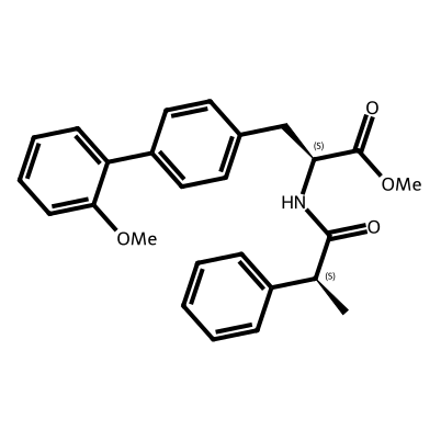 COC(=O)[C@H](Cc1ccc(-c2ccccc2OC)cc1)NC(=O)[C@@H](C)c1ccccc1